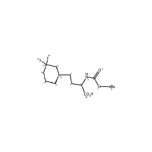 CC(C)(C)OC(=O)NC(CCN1CCCC(F)(F)C1)C(=O)O